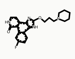 O=c1[nH]ccc2c3nc(OCCCN4CCCCC4)[nH]c3c3ccc(F)cc3c12